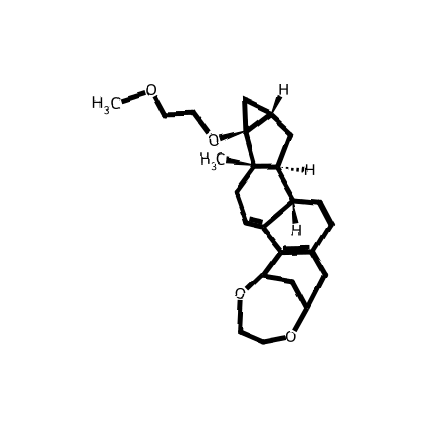 COCCO[C@@]12C[C@@H]1C[C@H]1[C@@H]3CCC4=C(C3=CC[C@@]12C)C1CC(C4)OCCO1